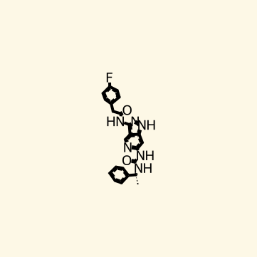 C[C@@H](NC(=O)Nc1cc2[nH]nc(NC(=O)Cc3ccc(F)cc3)c2cn1)c1ccccc1